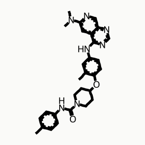 Cc1ccc(NC(=O)N2CCC(Oc3ccc(Nc4ncnc5cnc(N(C)C)cc45)cc3C)CC2)cc1